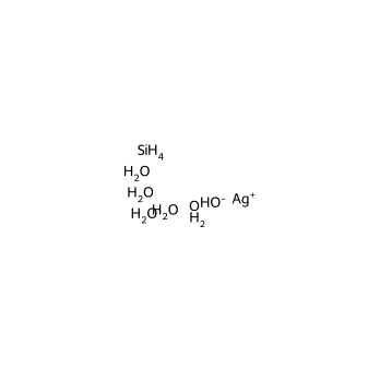 O.O.O.O.O.[Ag+].[OH-].[SiH4]